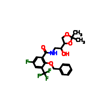 CC1(C)OCC(C(O)CNC(=O)c2cc(F)cc(C(F)(F)F)c2OCc2ccccc2)O1